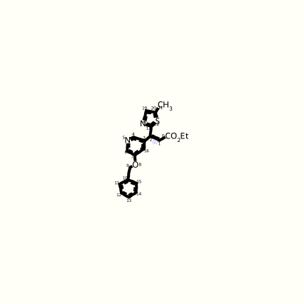 CCOC(=O)/C=C(/c1cncc(OCc2ccccc2)c1)c1ncc(C)s1